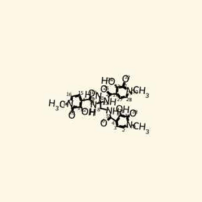 Cn1ccc(C(=O)NCC(N)(NC(=O)c2ccn(C)c(=O)c2O)NC(=O)c2ccn(C)c(=O)c2O)c(O)c1=O